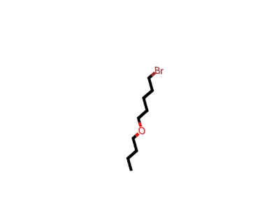 CCCCOCCCCCBr